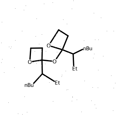 CCCCC(CC)C1(OC2(C(CC)CCCC)CCO2)CCO1